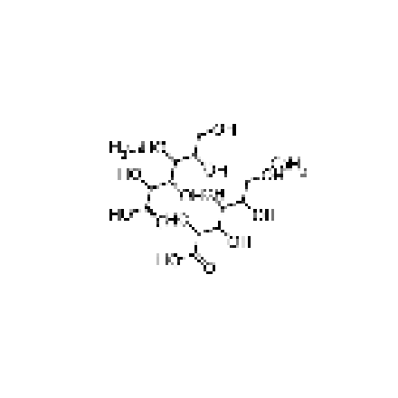 O=C(O)C(O)C(O)C(O)C(O)CO.O=C(O)C(O)C(O)C(O)C(O)CO.[CaH2].[CaH2]